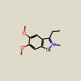 CCc1c2cc(OC)c(OC)cc2[te][n+]1C